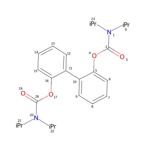 CC(C)N(C(=O)Oc1ccccc1-c1ccccc1OC(=O)N(C(C)C)C(C)C)C(C)C